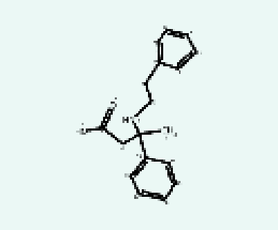 CC(CC(=O)O)(NCCc1ccccc1)c1ccccc1